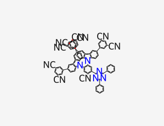 N#Cc1cc(C#N)cc(-c2ccc3c(c2)c2cc(-c4cc(C#N)cc(C#N)c4)ccc2n3-c2cc(C#N)c(-c3nc(-c4ccccc4)nc(-c4ccccc4)n3)cc2-n2c3ccc(-c4cc(C#N)cc(C#N)c4)cc3c3cc(-c4cc(C#N)cc(C#N)c4)ccc32)c1